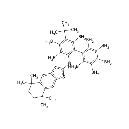 Bc1c(B)c(B)c(-c2c(B)c(C(C)(C)C)c(B)c(B)c2Nc2cc3cc4c(cc3s2)C(C)(C)CCC4(C)C)c(B)c1B